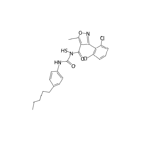 CCCCCc1ccc(NC(=O)N(S)C(=O)c2c(-c3c(Cl)cccc3Cl)noc2C)cc1